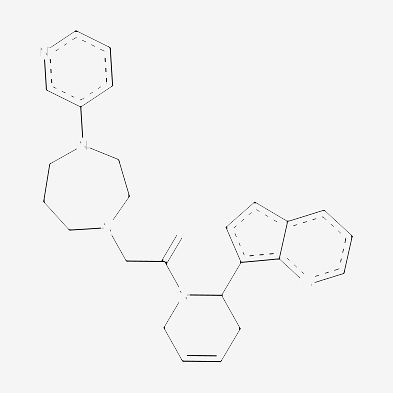 O=C(CN1CCCN(c2cccnc2)CC1)N1CC=CCC1c1ccc2cccoc1-2